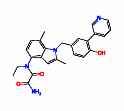 CCN(C(=O)C(N)=O)c1ccc(C)c2c1cc(C)n2Cc1ccc(O)c(-c2cccnc2)c1